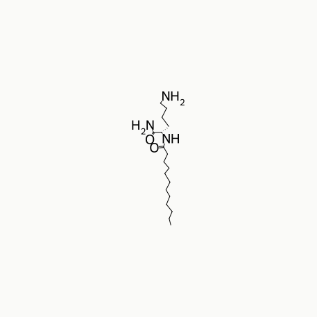 CCCCCCCCCCCC(=O)N[C@@H](CCCCN)C(N)=O